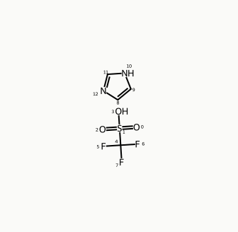 O=S(=O)(O)C(F)(F)F.c1c[nH]cn1